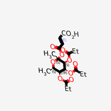 CCC(=O)O[C@@H]1[C@H](OC(=O)CC)[C@H](C)O[C@@](C)(OC(=O)/C=C/C(=O)O)[C@H]1OC(=O)CC